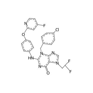 O=c1nc(Nc2ccc(Oc3cc(F)ccn3)cc2)n(Cc2ccc(Cl)cc2)c2ncn(CC(F)F)c12